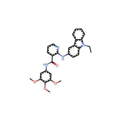 CCn1c2ccccc2c2cc(Nc3ncccc3C(=O)Nc3cc(OC)c(OC)c(OC)c3)ccc21